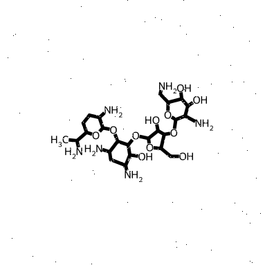 CC(N)C1CCC(N)C(OC2C(N)CC(N)C(O)C2OC2OC(CO)C(OC3OC(CN)C(O)C(O)C3N)C2O)O1